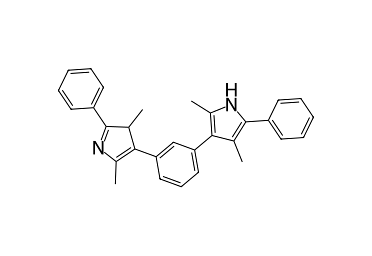 CC1=C(c2cccc(-c3c(C)[nH]c(-c4ccccc4)c3C)c2)C(C)C(c2ccccc2)=N1